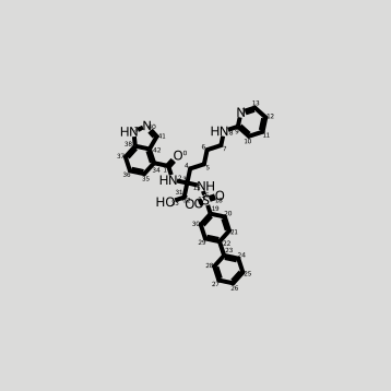 O=C(NC(CCCCNc1ccccn1)(NS(=O)(=O)c1ccc(-c2ccccc2)cc1)C(=O)O)c1cccc2[nH]ncc12